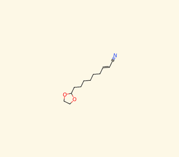 N#CC=CCCCCCCC1OCCO1